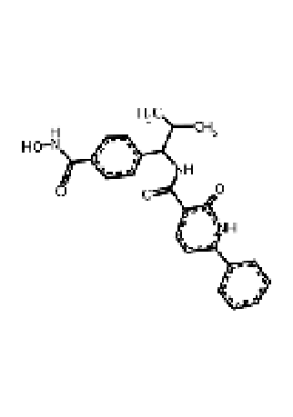 CC(C)C(NC(=O)c1ccc(-c2ccccc2)[nH]c1=O)c1ccc(C(=O)NO)cc1